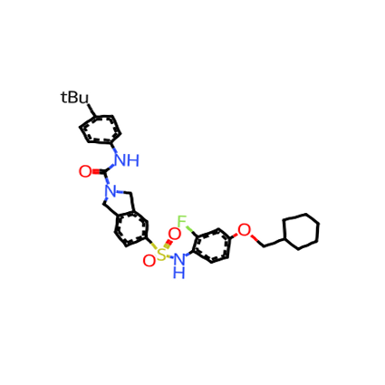 CC(C)(C)c1ccc(NC(=O)N2Cc3ccc(S(=O)(=O)Nc4ccc(OCC5CCCCC5)cc4F)cc3C2)cc1